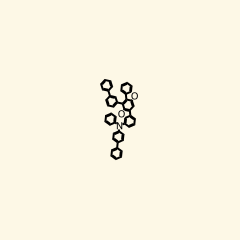 c1ccc(-c2ccc(N(c3ccccc3)c3cccc4c3oc3c(-c5cccc(-c6ccccc6)c5)c5c(cc34)oc3ccccc35)cc2)cc1